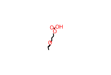 CC=COCCCCOC(=O)O